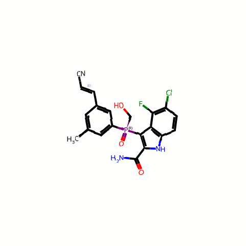 Cc1cc(/C=C/C#N)cc([P@](=O)(CO)c2c(C(N)=O)[nH]c3ccc(Cl)c(F)c23)c1